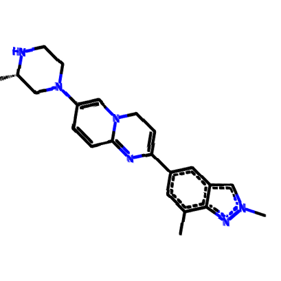 Cc1cc(C2=CCN3C=C(N4CCN[C@@H](C)C4)C=CC3=N2)cc2cn(C)nc12